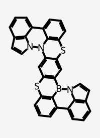 c1cc2c3c(c1)-c1cccc4ccn(c14)B3c1cc3sc4cccc5c4-n(c3cc1S2)n1ccc2cccc5c21